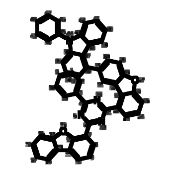 c1ccc(-c2nc(-c3cccc4c3oc3ccccc34)nc(-c3cccc4oc5ccc(-c6cccc7c6c6ccccc6n7-c6ccccc6)cc5c34)n2)cc1